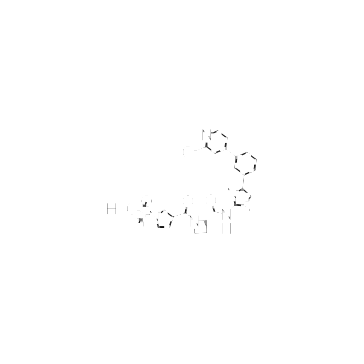 CS(=O)(=O)n1ccc(C(=O)N2CC[C@H]2C(=O)Nc2nc(-c3cccc(-c4ccnc(Cl)c4)c3)cs2)c1